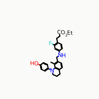 CCOC(=O)CCc1ccc(NCc2ccc3c(c2C)N(c2ccc(O)cc2)CCC3)cc1F